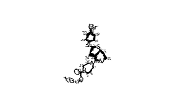 CC(C)(C)OC(=O)N1CCCN(c2nccc3sc(Sc4ccc(Br)cc4)cc23)CC1